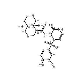 O=C1NC=CN(S(=O)(=O)c2ccc(Cl)c(Cl)c2)[C@@H]1CC(=O)N1CCC[C@H]2CCCC[C@@H]21